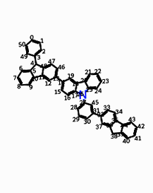 c1ccc(C2c3ccccc3-c3cc(-c4ccc5c(c4)c4ccccc4n5-c4cccc(-c5ccc6c(c5)Cc5ccccc5-6)c4)ccc32)cc1